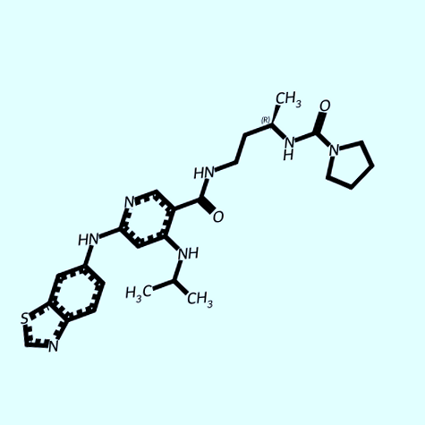 CC(C)Nc1cc(Nc2ccc3ncsc3c2)ncc1C(=O)NCC[C@@H](C)NC(=O)N1CCCC1